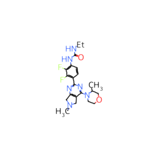 CCNC(=O)Nc1ccc(-c2nc3c(c(N4CCOCC4C)n2)CN(C)C3)c(F)c1F